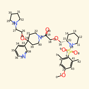 COc1cc(C)c(S(=O)(=O)N2CCCC[C@H]2COCC(=O)N2CCC(OCCN3CCCC3)(c3cccnc3)CC2)c(C)c1